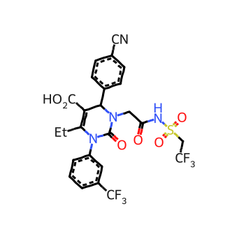 CCC1=C(C(=O)O)C(c2ccc(C#N)cc2)N(CC(=O)NS(=O)(=O)CC(F)(F)F)C(=O)N1c1cccc(C(F)(F)F)c1